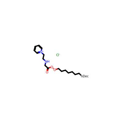 CCCCCCCCCCCCCCCCCOOC(=O)CNCC[n+]1ccccc1.[Cl-]